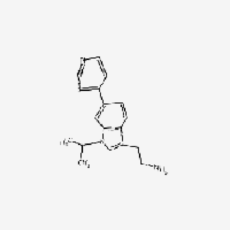 CC(C)n1cc(CCN)c2ccc(-c3ccncc3)cc21